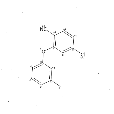 Cc1cccc(Oc2cc(Cl)ccc2C#N)c1